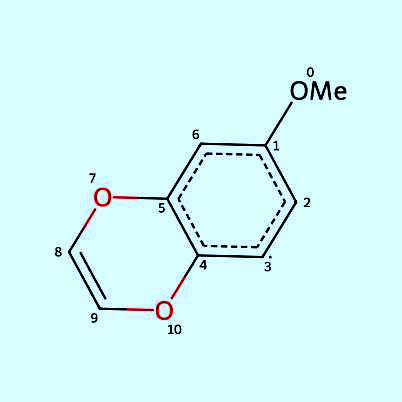 COc1c[c]c2c(c1)OC=CO2